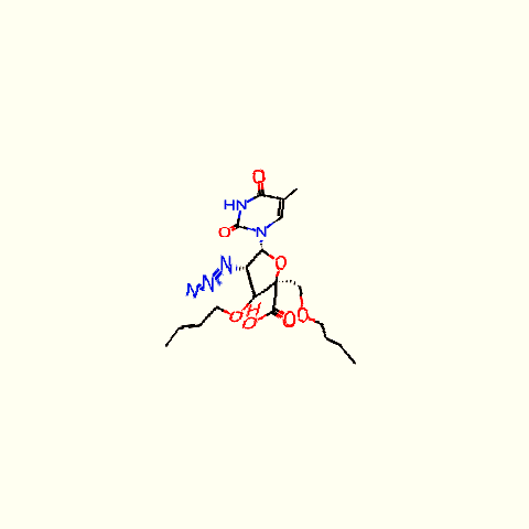 CCCCOC[C@@]1(C(=O)O)O[C@@H](n2cc(C)c(=O)[nH]c2=O)[C@@H](N=[N+]=[N-])C1OCCCC